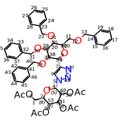 CC(=O)OC[C@H]1O[C@H](n2cc([C@H]3O[C@H](COCc4ccccc4)[C@@H](OCc4ccccc4)[C@H](OCc4ccccc4)[C@@H]3OCc3ccccc3)nn2)[C@@H](OC(C)=O)[C@@H](OC(C)=O)[C@@H]1OC(C)=O